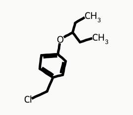 CCC(CC)Oc1ccc(CCl)cc1